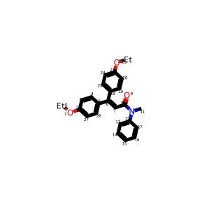 CCOc1ccc(C(=CC(=O)N(C)c2ccccc2)c2ccc(OCC)cc2)cc1